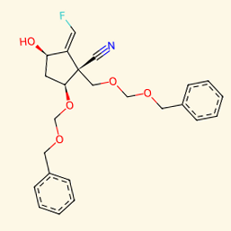 N#C[C@]1(COCOCc2ccccc2)/C(=C/F)[C@H](O)C[C@@H]1OCOCc1ccccc1